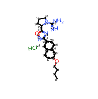 CCCCOc1ccc2cc(-c3noc(C4CCCN4C(=N)N)n3)ccc2c1.Cl